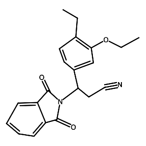 CCOc1cc(C(CC#N)N2C(=O)c3ccccc3C2=O)ccc1CC